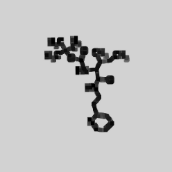 CCC(C)C(NC(=O)OC(C)(C)C)C(=O)NCCc1ccccn1